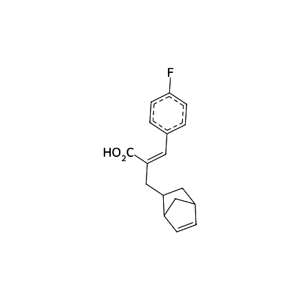 O=C(O)C(=Cc1ccc(F)cc1)CC1CC2C=CC1C2